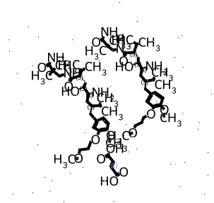 COCCCOc1cc(C[C@@H](C[C@H](N)[C@@H](O)C[C@H](C(=O)NCC(C)(C)C(N)=O)C(C)C)C(C)C)ccc1OC.COCCCOc1cc(C[C@@H](C[C@H](N)[C@@H](O)C[C@H](C(=O)NCC(C)(C)C(N)=O)C(C)C)C(C)C)ccc1OC.O=C(O)/C=C/C(=O)O